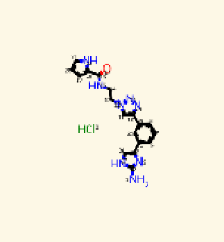 Cl.Nc1nc(-c2cccc(-c3cn(CCNC(=O)c4ccc[nH]4)nn3)c2)c[nH]1